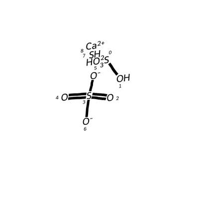 O=S(=O)(O)O.O=S(=O)([O-])[O-].S.[Ca+2]